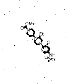 CCC1CN(c2ncc(NS(C)(=O)=O)cc2Cl)CCN1C1CCN(C(=O)OC)CC1